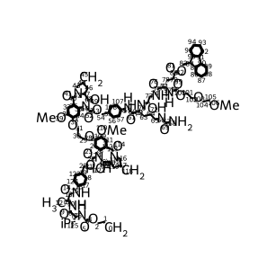 C=CCOC(=O)N[C@H](C(=O)N[C@@H](C)C(=O)Nc1ccc(COC(=O)N2c3cc(OCCCOc4cc5c(cc4OC)C(=O)N4CC(=C)CC4[C@H](O)N5C(=O)OCc4ccc(NC(=O)[C@H](CCCNC(N)=O)NC(=O)CNC(=O)[C@H](CCC(=O)OCC5c6ccccc6-c6ccccc65)NC(=O)OCCOCCOC)cc4)c(OC)cc3C(=O)N3CC(=C)C[C@H]3[C@@H]2O)cc1)C(C)C